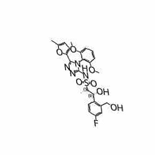 COc1cccc(OC)c1-n1c(NS(=O)(=O)[C@@H](C)[C@H](O)c2ccc(F)cc2CO)nnc1-c1ccc(C)o1